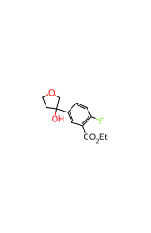 CCOC(=O)c1cc(C2(O)CCOC2)ccc1F